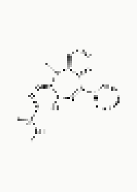 CN[C@@H](C)C(=O)NC1N=C(c2ccccc2)c2ccccc2N(C)C1=O